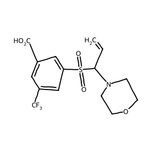 C=CC(N1CCOCC1)S(=O)(=O)c1cc(C(=O)O)cc(C(F)(F)F)c1